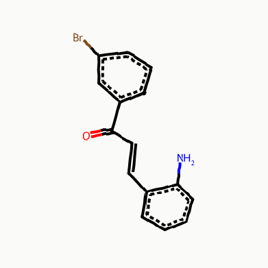 Nc1ccccc1C=CC(=O)c1cccc(Br)c1